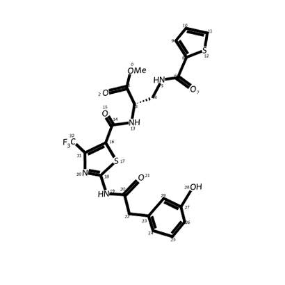 COC(=O)[C@H](CNC(=O)c1cccs1)NC(=O)c1sc(NC(=O)Cc2cccc(O)c2)nc1C(F)(F)F